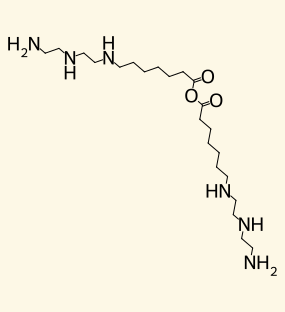 NCCNCCNCCCCCCC(=O)OC(=O)CCCCCCNCCNCCN